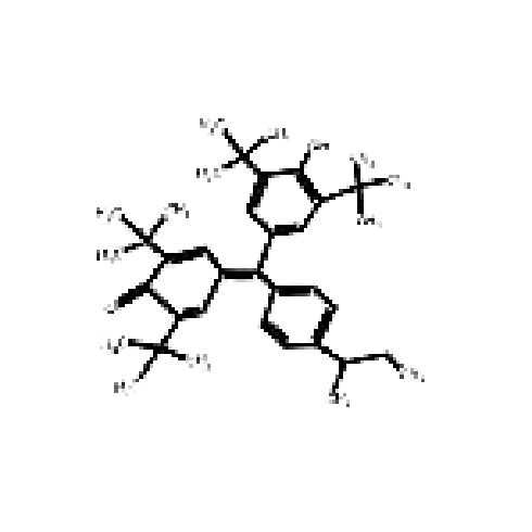 CCC(C)c1ccc(C(=C2C=C(C(C)(C)C)C(=O)C(C(C)(C)C)=C2)c2cc(C(C)(C)C)c(O)c(C(C)(C)C)c2)cc1